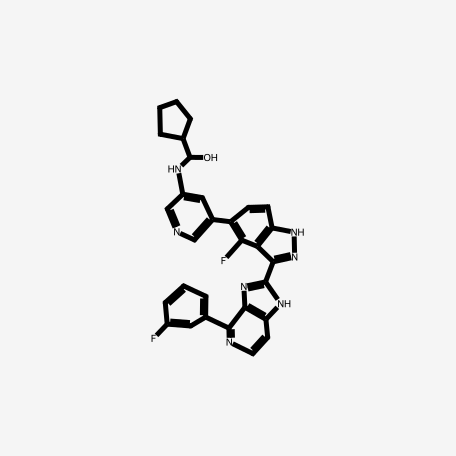 OC(Nc1cncc(-c2ccc3[nH]nc(-c4nc5c(-c6cccc(F)c6)nccc5[nH]4)c3c2F)c1)C1CCCC1